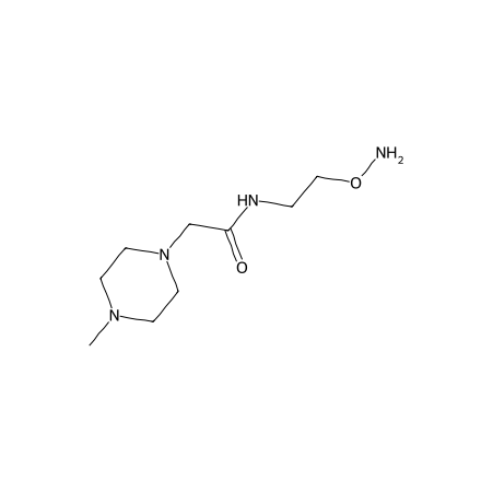 CN1CCN(CC(=O)NCCON)CC1